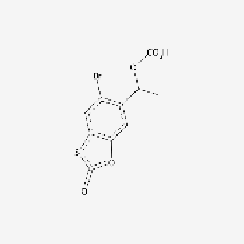 CC(OC(=O)O)c1cc2oc(=O)sc2cc1Br